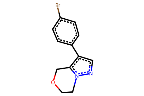 Brc1ccc(-c2cnn3c2COCC3)cc1